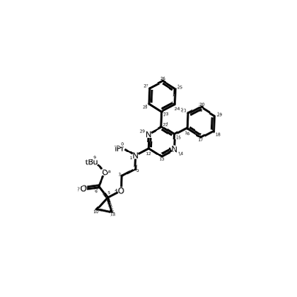 CC(C)N(CCOC1(C(=O)OC(C)(C)C)CC1)c1cnc(-c2ccccc2)c(-c2ccccc2)n1